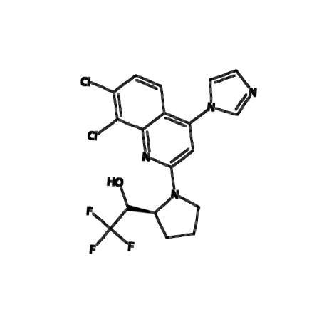 OC([C@@H]1CCCN1c1cc(-n2ccnc2)c2ccc(Cl)c(Cl)c2n1)C(F)(F)F